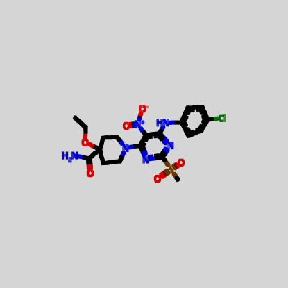 CCOC1(C(N)=O)CCN(c2nc(S(C)(=O)=O)nc(Nc3ccc(Cl)cc3)c2[N+](=O)[O-])CC1